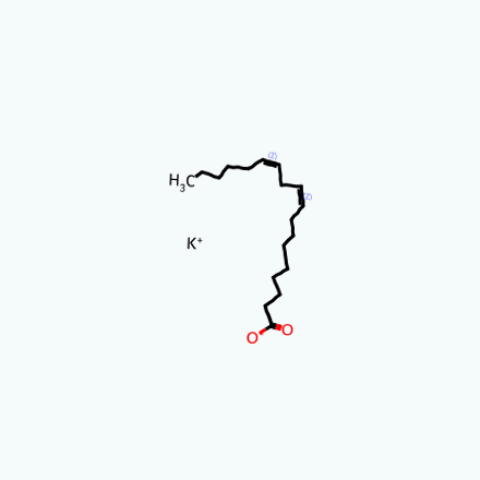 CCCCC/C=C\C/C=C\CCCCCCCC(=O)[O-].[K+]